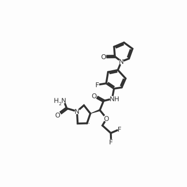 NC(=O)N1C[CH][C@H](C(OCC(F)F)C(=O)Nc2ccc(-n3ccccc3=O)cc2F)C1